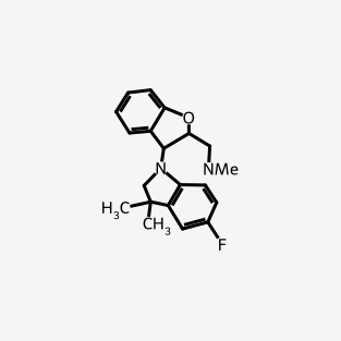 CNCC1Oc2ccccc2C1N1CC(C)(C)c2cc(F)ccc21